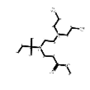 CCC(C)(C)N(CCC(=O)OC)CCN(CCO)CCO